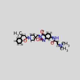 C[C@H](CC(=O)N1CCC(O)(Cn2cnc3cc(NC(=O)C=CN(C)C)ccc3c2=O)CC1)c1ccccc1